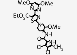 CCOC(=O)c1sc(N2CC[C@@H](NC(=O)c3[nH]c(C)c(Cl)c3Cl)C(OC)C2)nc1-c1nc(OC)cc(OC)n1